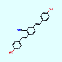 N#Cc1cc(C=Cc2ccc(O)cc2)ccc1C=Cc1ccc(O)cc1